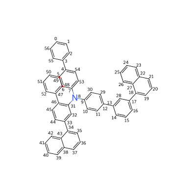 c1ccc(-c2ccc(N(c3ccc(-c4cccc(-c5cccc6ccccc56)c4)cc3)c3cc(-c4cccc5ccccc45)ccc3-c3ccccc3)cc2)cc1